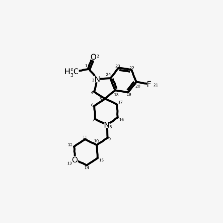 CC(=O)N1CC2(CCN(CC3CCOCC3)CC2)c2cc(F)ccc21